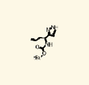 C=CC[C@H](NC(=O)OC(C)(C)C)c1cc[nH]n1